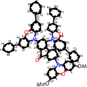 COc1ccc2c(c1)Oc1cc(OC)ccc1N2c1ccc2c(c1)C(=O)c1cc(N3c4ccc(-c5ccccc5)cc4Oc4cc(-c5ccccc5)ccc43)cc(N3c4ccc(-c5ccccc5)cc4Oc4cc(-c5ccccc5)ccc43)c1-2